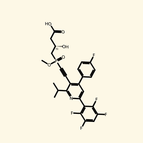 COP(=O)(C#Cc1c(-c2ccc(F)cc2)cc(-c2c(F)c(F)cc(F)c2F)nc1C(C)C)C[C@@H](O)CC(=O)O